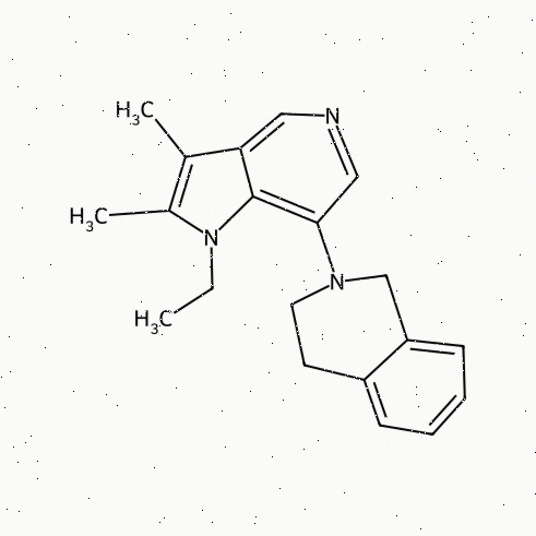 CCn1c(C)c(C)c2cncc(N3CCc4ccccc4C3)c21